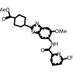 COC(=O)C1CCC(c2nc3cc(OC)c(NC(=O)c4cccc(C(F)(F)F)n4)cc3s2)CC1